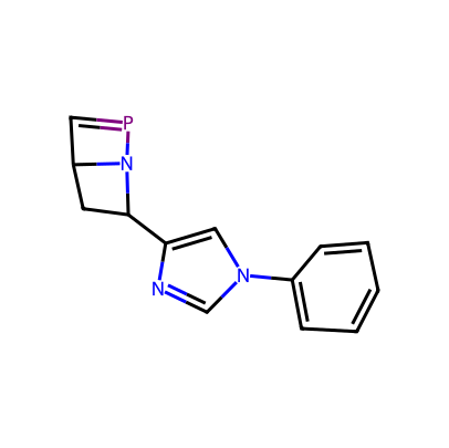 C1=PN2C1CC2c1cn(-c2ccccc2)cn1